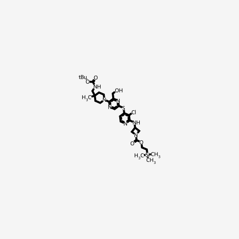 CC1(CNC(=O)OC(C)(C)C)CCN(c2ncc(Sc3ccnc(NC4CN(C(=O)OCC[Si](C)(C)C)C4)c3Cl)nc2CO)CC1